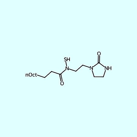 CCCCCCCCCCC(=O)N(S)CCN1CCNC1=O